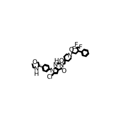 O=C(CC(c1ccccc1)C(F)(F)F)N1CCC(O)(Cn2cnc3c(cc(Cl)n3-c3ccc([C@@H]4COCCN4)cc3)c2=O)CC1